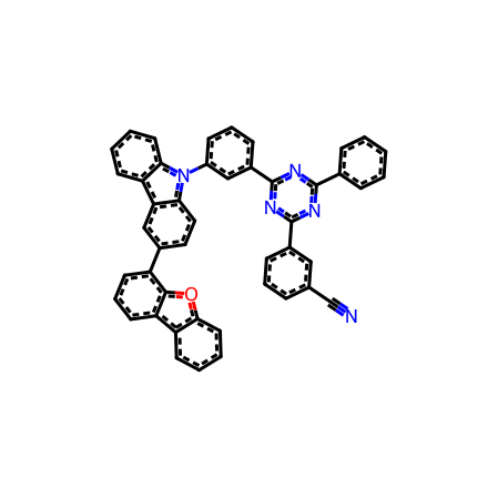 N#Cc1cccc(-c2nc(-c3ccccc3)nc(-c3cccc(-n4c5ccccc5c5cc(-c6cccc7c6oc6ccccc67)ccc54)c3)n2)c1